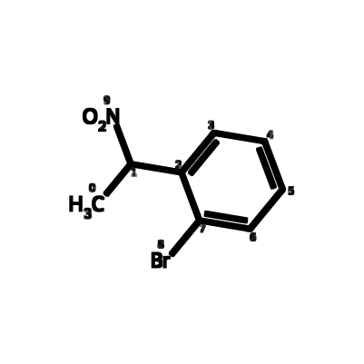 CC(c1ccccc1Br)[N+](=O)[O-]